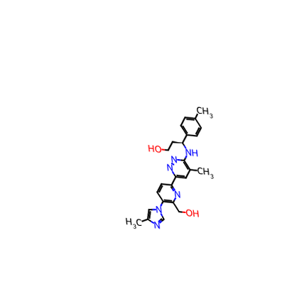 Cc1ccc([C@H](CCO)Nc2nnc(-c3ccc(-n4cnc(C)c4)c(CO)n3)cc2C)cc1